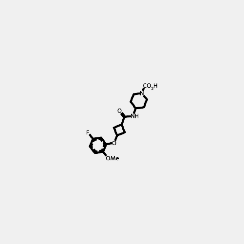 COc1ccc(F)cc1OC1CC(C(=O)NC2CCN(C(=O)O)CC2)C1